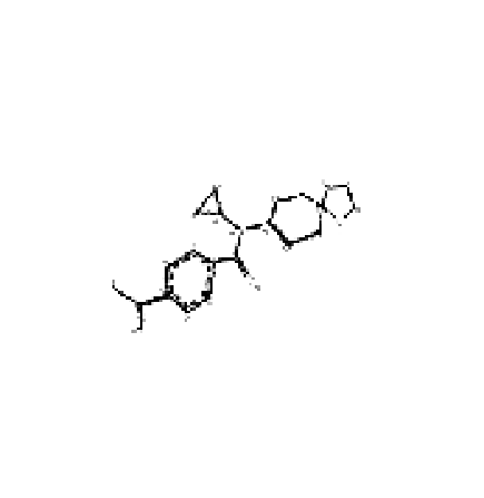 CC(C)c1ccc(C(=O)N(C2CC2)C2CCC3(CC2)OCCO3)cc1